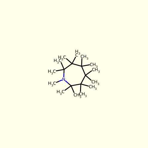 CN1C(C)(C)C(C)(C)C(C)(C)C(C)(C)C(C)(C)C1(C)C